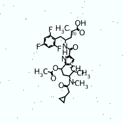 CC(=O)OC(CC(C(C)C)N(C)C(=O)CC1CC1)c1nc(C(=O)NC(Cc2c(F)cc(F)cc2F)C[C@H](C)C(=O)O)cs1